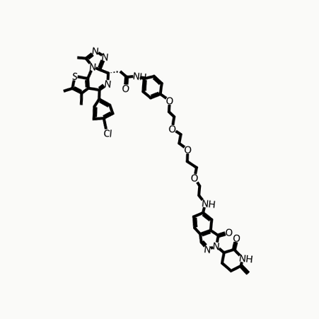 C=C1CCC(n2ncc3ccc(NCCOCCOCCOCCOc4ccc(NC(=O)C[C@@H]5N=C(c6ccc(Cl)cc6)c6c(sc(C)c6C)-n6c(C)nnc65)cc4)cc3c2=O)C(=O)N1